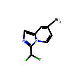 Bc1ccn2c(C(F)F)ncc2c1